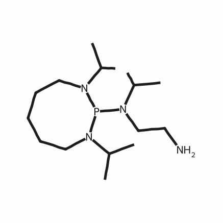 CC(C)N(CCN)P1N(C(C)C)CCCCCN1C(C)C